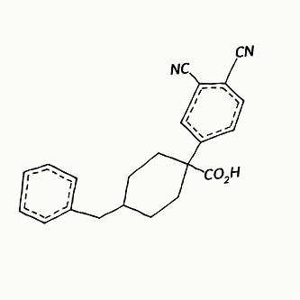 N#Cc1ccc(C2(C(=O)O)CCC(Cc3ccccc3)CC2)cc1C#N